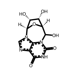 O=c1[nH]c(=O)n2c3c1ncn3[C@@H]1O[C@H](C2O)[C@@H](O)[C@H]1O